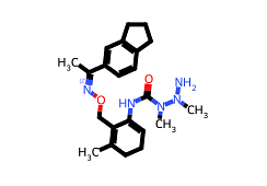 CC1=C(CO/N=C(/C)c2ccc3c(c2)CCC3)C(NC(=O)N(C)N(C)N)=CCC1